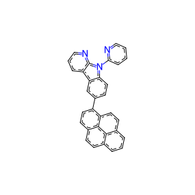 c1ccc(-n2c3ccc(-c4ccc5ccc6cccc7ccc4c5c67)cc3c3cccnc32)nc1